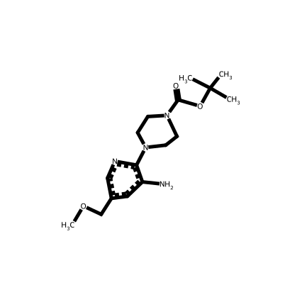 COCc1cnc(N2CCN(C(=O)OC(C)(C)C)CC2)c(N)c1